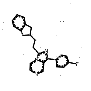 Fc1ccc(-c2nc(C[CH]C3Cc4ccccc4C3)n3ccncc23)cc1